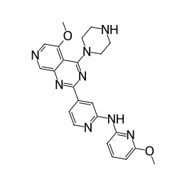 COc1cccc(Nc2cc(-c3nc(N4CCNCC4)c4c(OC)cncc4n3)ccn2)n1